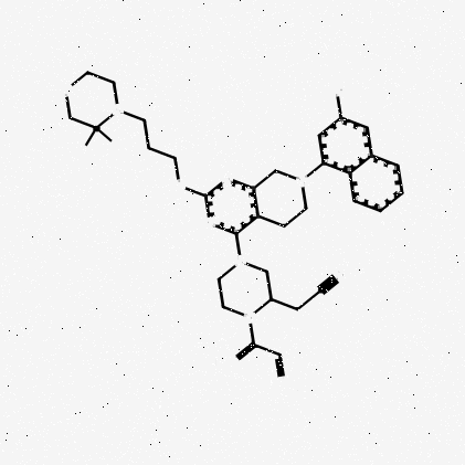 C=CC(=C)N1CCN(c2nc(OCCCN3CCOCC3(O)O)nc3c2CCN(c2cc(O)cc4ccccc24)C3)CC1CC#N